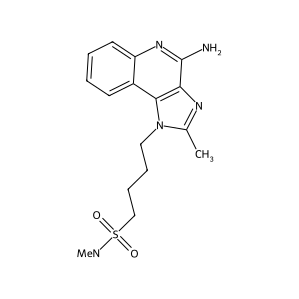 CNS(=O)(=O)CCCCn1c(C)nc2c(N)nc3ccccc3c21